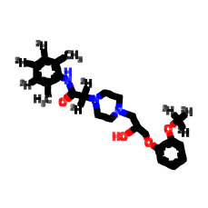 [2H]c1c([2H])c(C)c(NC(=O)C([2H])([2H])N2CCN(CC(O)COc3ccccc3OC([2H])([2H])[2H])CC2)c(C)c1[2H]